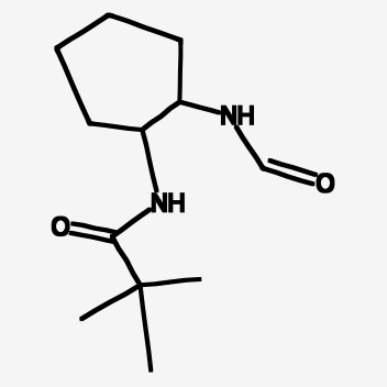 CC(C)(C)C(=O)NC1CCCCC1NC=O